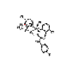 CC(C)(C)C[C@@H]1CN(C(=O)Nc2ccc(F)cc2)[C@H](c2cccc(Cl)c2F)[C@@]1(C#N)c1ccc(Cl)cc1F